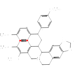 COc1ccc(C(CC2c3ccc(OC)c(OC)c3CN3CCc4cc5c(cc4C23)OCO5)c2ccc(OC)cc2)cc1